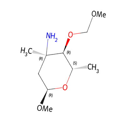 COCO[C@H]1[C@H](C)O[C@@H](OC)C[C@@]1(C)N